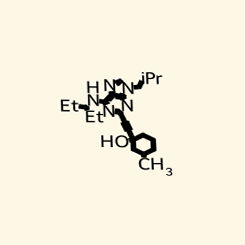 CCC(CC)Nc1nc(C#CC2(O)CCCC(C)C2)nc2c1ncn2CC(C)C